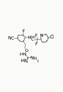 N#Cc1cc(F)c(NCC(F)(F)c2ccc(Cl)cn2)c(CCONC(=N)N)c1